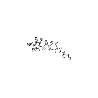 C=CCCC1CCC(C2CCc3c(cc(F)c(C#N)c3F)C2)CC1